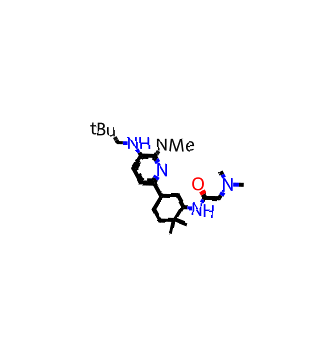 CNc1nc(C2CCC(C)(C)C(NC(=O)CN(C)C)C2)ccc1NCC(C)(C)C